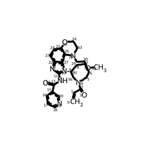 C=CC(=O)N1CCCC[C@@H](n2c(NC(=O)c3cccnc3)nc3ccc4c(c32)N(CCOC)CCO4)C1